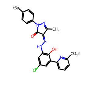 CC1=NN(c2ccc(C(C)(C)C)cc2)C(=O)C1=NNc1cc(Cl)cc(-c2cccc(C(=O)O)n2)c1O